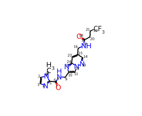 Cn1ccnc1C(=O)NCc1cn2ncc(CNC(=O)CCC(F)(F)F)cc2n1